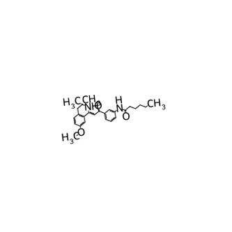 CCCCCC(=O)Nc1cccc(C(=O)C=C2NC(C)(C)Cc3ccc(OC)cc32)c1